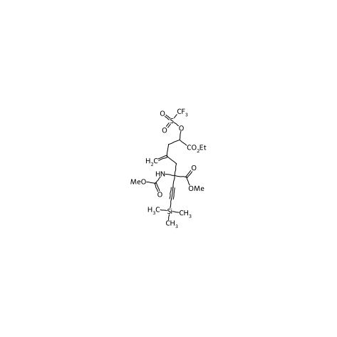 C=C(CC(OS(=O)(=O)C(F)(F)F)C(=O)OCC)CC(C#C[Si](C)(C)C)(NC(=O)OC)C(=O)OC